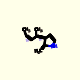 C=c1[nH]cc/c1=C(C)/C=C\C